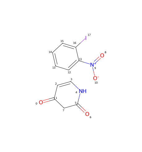 O=C1C=CNC(=O)C1.O=[N+]([O-])c1ccccc1I